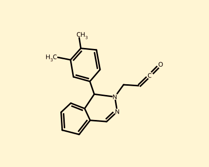 Cc1ccc(C2c3ccccc3C=NN2CC=C=O)cc1C